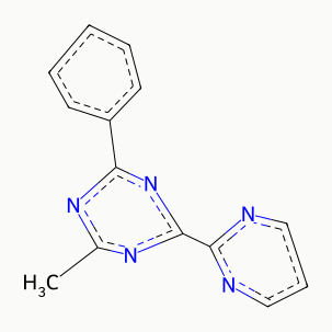 Cc1nc(-c2ccccc2)nc(-c2ncccn2)n1